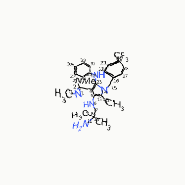 C/N=C(\NC)c1c(NCC(C)(C)N)c(C)n(Cc2ccc(C(F)(F)F)cc2)c1Nc1ccccc1